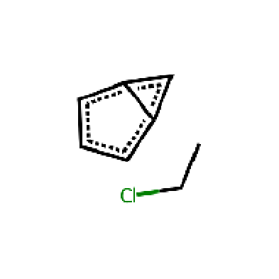 CCCl.c1cc2cc-2c1